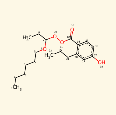 CCCCCCOC(CC)OOC(=O)c1ccc(O)cc1CCC